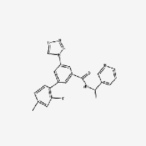 Cc1ccc(-c2cc(C(=O)NC(C)c3cccnc3)cc(-n3cnnn3)c2)c(F)c1